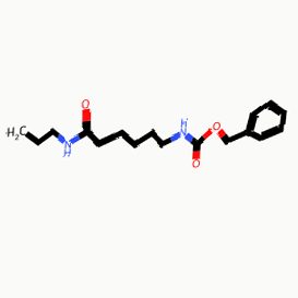 [CH2]CCNC(=O)CCCCCNC(=O)OCc1ccccc1